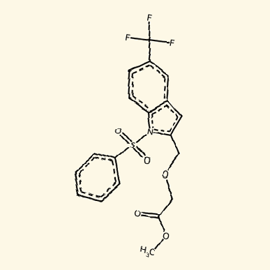 COC(=O)COCc1cc2cc(C(F)(F)F)ccc2n1S(=O)(=O)c1ccccc1